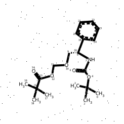 CC(C)(C)OC(=O)N[C@H](COCOC(=O)C(C)(C)C)c1ccccc1